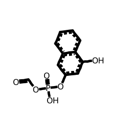 O=COP(=O)(O)Oc1cc(O)c2ccccc2c1